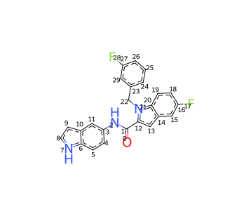 O=C(Nc1ccc2[nH]ccc2c1)c1cc2cc(F)ccc2n1Cc1cccc(F)c1